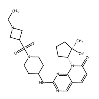 CCN1CC(S(=O)(=O)N2CCC(Nc3ncc4ccc(=O)n([C@@H]5CCC[C@@]5(C)O)c4n3)CC2)C1